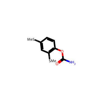 CSc1ccc(OC(N)=O)c(SC)c1